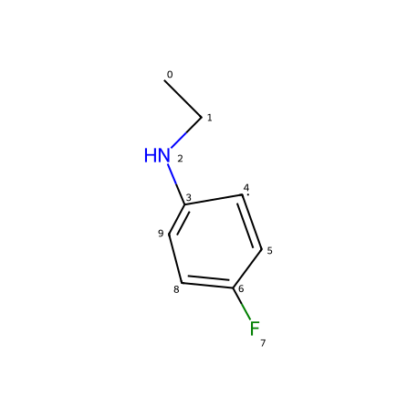 CCNc1[c]cc(F)cc1